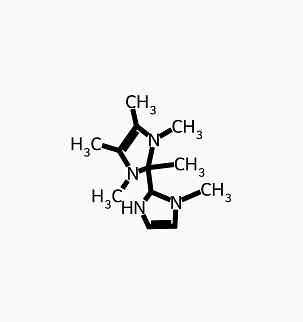 CC1=C(C)N(C)C(C)(C2NC=CN2C)N1C